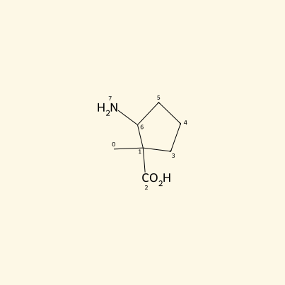 CC1(C(=O)O)CCCC1N